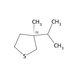 CC(C)[C@]1(C)CCSC1